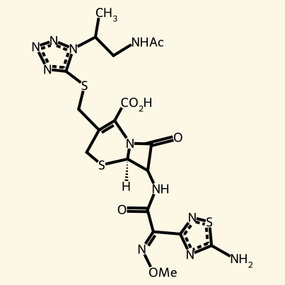 CO/N=C(/C(=O)NC1C(=O)N2C(C(=O)O)=C(CSc3nnnn3C(C)CNC(C)=O)CS[C@H]12)c1nsc(N)n1